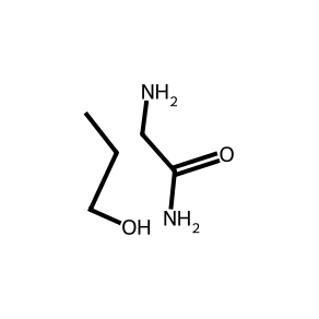 CCCO.NCC(N)=O